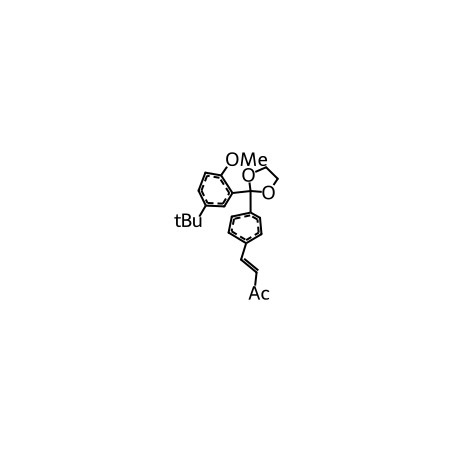 COc1ccc(C(C)(C)C)cc1C1(c2ccc(/C=C/C(C)=O)cc2)OCCO1